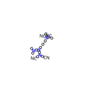 N#Cc1ccc(N(c2ccc(C#N)cc2)c2ccc3c(c2)c2cc(N(c4ccccc4)c4ccccc4)ccc2n3-c2ccc(-c3ccc(-c4ccc(-c5cc(-c6ccccc6C#N)nc(-c6ccccc6C#N)n5)cc4)cc3)cc2)cc1